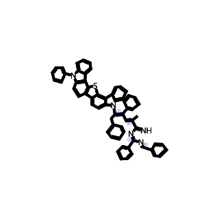 C/C(=C\C(=C(/Cc1ccccc1)n1c2ccccc2c2c3sc4c(ccc5c4c4ccccc4n5-c4ccccc4)c3ccc21)c1ccccc1)C(=N)/N=C(\N=C\c1ccccc1)c1ccccc1